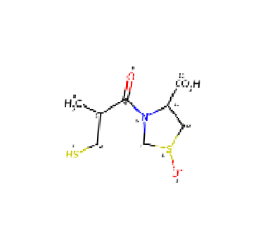 CC(CS)C(=O)N1C[S+]([O-])CC1C(=O)O